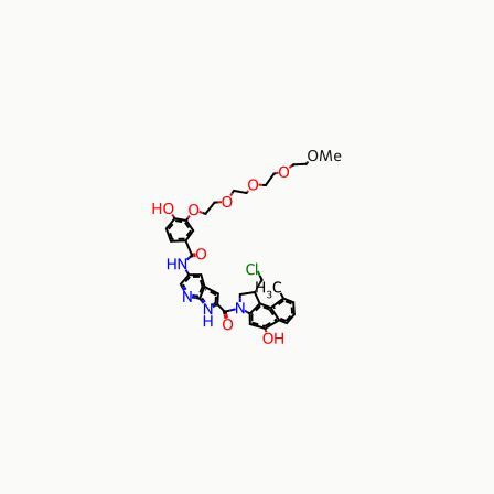 COCCOCCOCCOCCOc1cc(C(=O)Nc2cnc3[nH]c(C(=O)N4C[C@@H](CCl)c5c4cc(O)c4cccc(C)c54)cc3c2)ccc1O